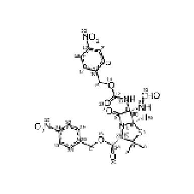 CC1(C)S[C@H]2N(C(=O)[C@@]2(NC=O)NC(=O)OCc2ccc([N+](=O)[O-])cc2)[C@H]1C(=O)OCc1ccc([N+](=O)[O-])cc1